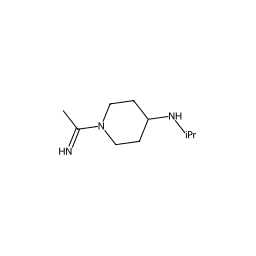 CC(=N)N1CCC(NC(C)C)CC1